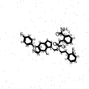 C[C@@H]1C2=C(CC[C@H]2CN(CCc2ccccc2F)S(=O)(=O)Cc2ccccc2C(N)=O)Cc2c1cnn2-c1ccc(F)cc1